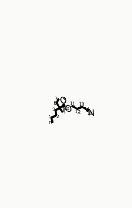 CCCCC(C)(CC)C(=O)OCCCC#N